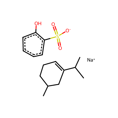 CC1CCC=C(C(C)C)C1.O=S(=O)([O-])c1ccccc1O.[Na+]